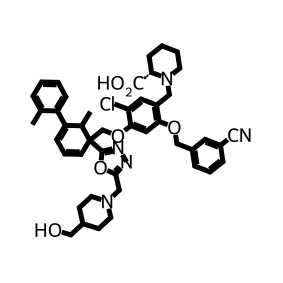 Cc1ccccc1C1=CC=CC(COc2cc(OCc3cccc(C#N)c3)c(CN3CCCC[C@H]3C(=O)O)cc2Cl)(c2nnc(CN3CCC(CO)CC3)o2)C1C